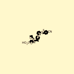 N#Cc1ccc(COc2cccc(N3CCC4(CC3)CC4c3nc4oc(C(=O)O)cc4n3C[C@@H]3CCO3)n2)c(F)c1